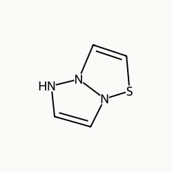 C1=CN2SC=CN2N1